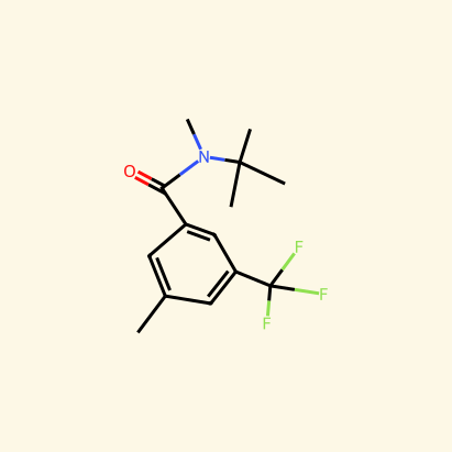 Cc1cc(C(=O)N(C)C(C)(C)C)cc(C(F)(F)F)c1